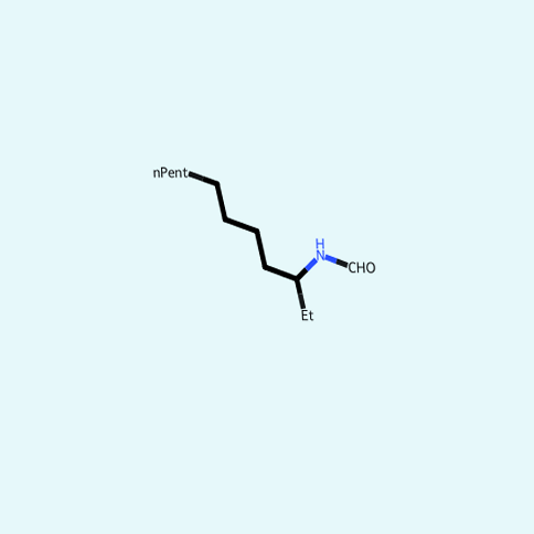 CCCCCCCCCC(CC)NC=O